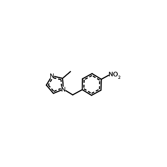 Cc1nccn1Cc1ccc([N+](=O)[O-])cc1